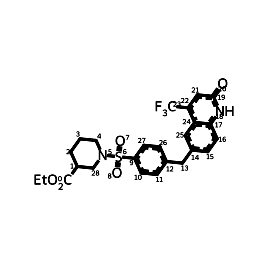 CCOC(=O)C1CCCN(S(=O)(=O)c2ccc(Cc3ccc4[nH]c(=O)cc(C(F)(F)F)c4c3)cc2)C1